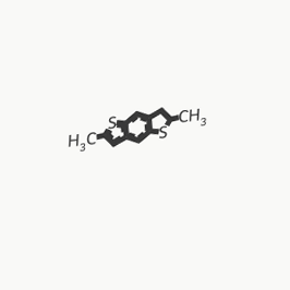 Cc1cc2cc3c(cc2s1)CC(C)S3